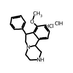 COc1cccc2c1C(c1ccccc1)CN1CCNCC21.Cl.Cl